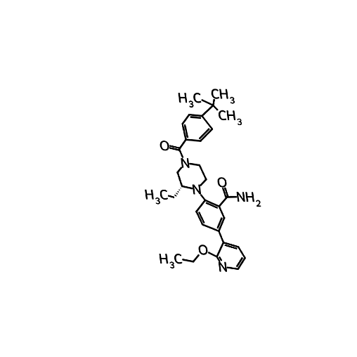 CCOc1ncccc1-c1ccc(N2CCN(C(=O)c3ccc(C(C)(C)C)cc3)C[C@H]2CC)c(C(N)=O)c1